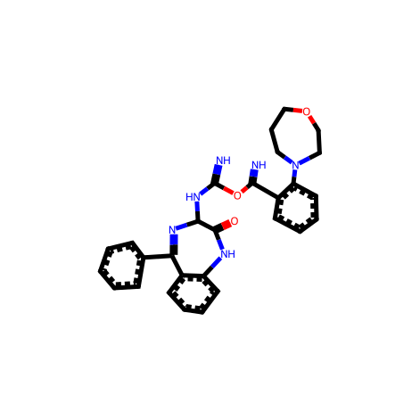 N=C(NC1N=C(c2ccccc2)c2ccccc2NC1=O)OC(=N)c1ccccc1N1CCCOCC1